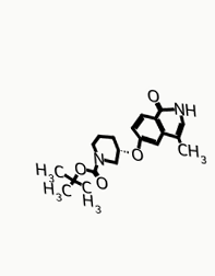 Cc1c[nH]c(=O)c2ccc(O[C@H]3CCCN(C(=O)OC(C)(C)C)C3)cc12